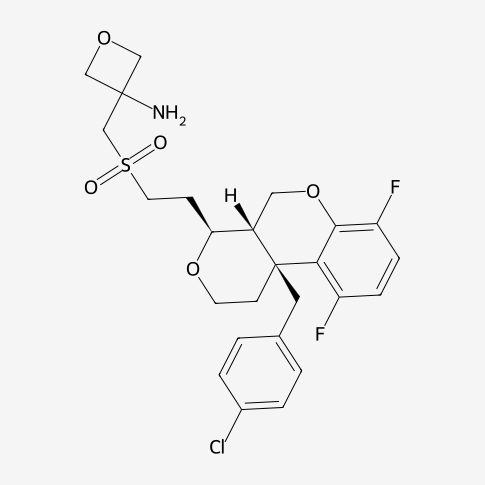 NC1(CS(=O)(=O)CC[C@@H]2OCC[C@@]3(Cc4ccc(Cl)cc4)c4c(F)ccc(F)c4OC[C@@H]23)COC1